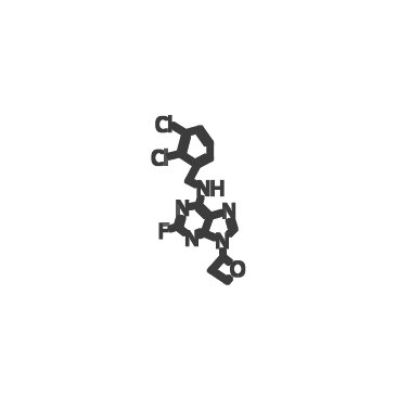 Fc1nc(NCc2cccc(Cl)c2Cl)c2ncn(C3CCO3)c2n1